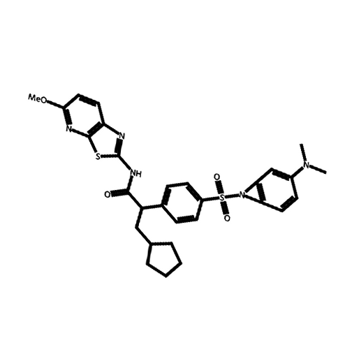 COc1ccc2nc(NC(=O)C(CC3CCCC3)c3ccc(S(=O)(=O)N4c5ccc(N(C)C)cc54)cc3)sc2n1